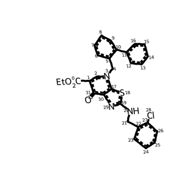 CCOC(=O)c1cn(Cc2ccccc2-c2ccccc2)c2sc(NCc3ccccc3Cl)nc2c1=O